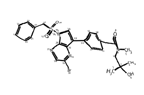 CN(CC(C)(C)O)C(=O)c1ccc(-c2cn(S(=O)(=O)Cc3ccccc3)c3ncc(Br)nc23)cc1